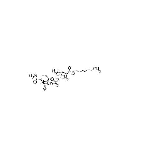 CCCCCCCOC(=O)CCC(C)(C)COS(=O)(=O)ON1C(=O)N2CC1CCC2C(N)=O